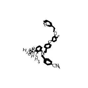 Cc1c(NS(C)(=O)=O)cccc1N(Cc1ccc(C#N)cc1)Cc1ccc(Oc2ccc(F)c(OCCc3cccnc3)c2)cc1